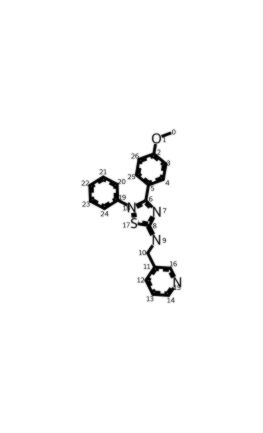 COc1ccc(-c2nc(=NCc3cccnc3)sn2-c2ccccc2)cc1